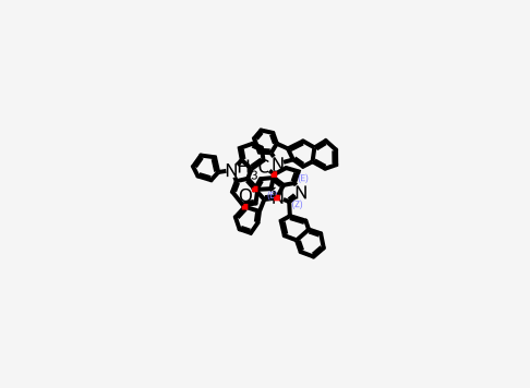 CC1C/C=C(c2cc3c(cc2-n2c4ccccc4c4cc5ccccc5cc42)oc2ccccc23)/N=C(c2ccc3ccccc3c2)\N=C/1c1cccc2c1c1ccccc1n2-c1ccccc1